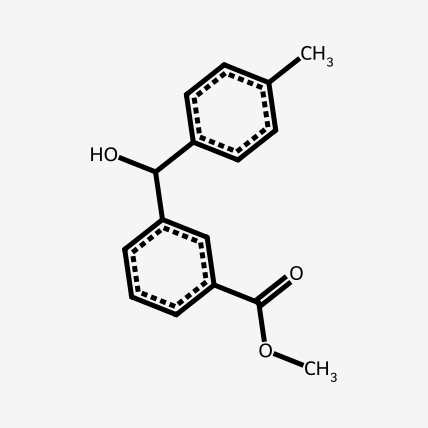 COC(=O)c1cccc(C(O)c2ccc(C)cc2)c1